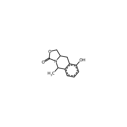 CC1c2cccc(O)c2CC2COC(=O)N21